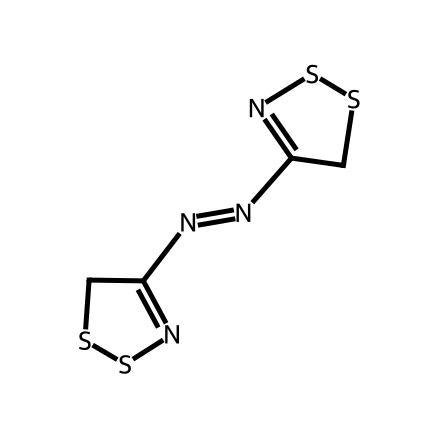 C1SSN=C1N=NC1=NSSC1